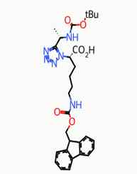 C[C@H](NC(=O)OC(C)(C)C)c1nnnn1[C@@H](CCCCNC(=O)OCC1c2ccccc2-c2ccccc21)C(=O)O